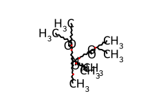 CCCCCCCCCCC(CCCCCCC(=O)OC(CCCCCCCC)CCCCCCCC)N(CCCCCCCC(=O)OCCC(CCCCC)CCCCC)C(=O)CCCN(C)C